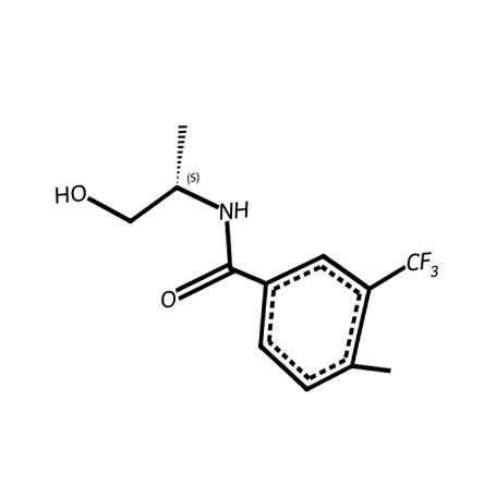 Cc1ccc(C(=O)N[C@@H](C)CO)cc1C(F)(F)F